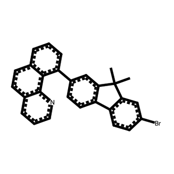 CC1(C)c2cc(Br)ccc2-c2ccc(-c3cccc4ccc5cccnc5c34)cc21